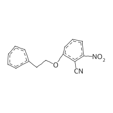 N#Cc1c(OCCc2ccccc2)cccc1[N+](=O)[O-]